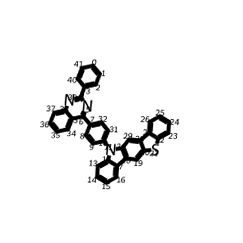 c1ccc(-c2nc(-c3ccc(-n4c5ccccc5c5cc6sc7ccccc7c6cc54)cc3)c3ccccc3n2)cc1